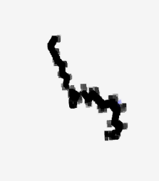 CCCCCCCC[C@H]1O[C@H]1CCCC/C=C\C=CO